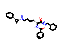 O=C(N[C@@H](CCCCN[C@@H]1C[C@H]1c1ccccc1)C(=O)NCc1ccccc1)c1ccccc1